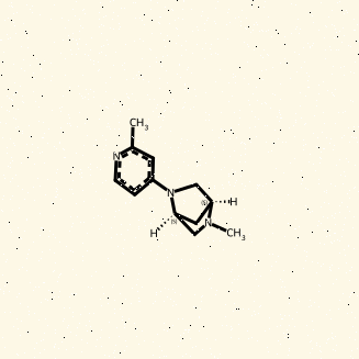 Cc1cc(N2C[C@@H]3C[C@H]2CN3C)ccn1